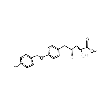 O=C(C=C(O)C(=O)O)Cc1ccc(OCc2ccc(F)cc2)cc1